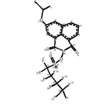 CC(C)Oc1cc2c3c(cccc3c1)C(=O)N(OS(=O)(=O)C(F)(F)C(F)(F)C(F)(F)C(C)(F)F)C2=O